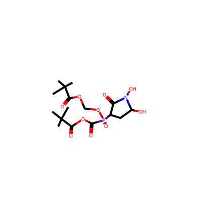 CC(C)(C)C(=O)OCOP(=O)(C(=O)OC(=O)C(C)(C)C)C1CC(O)N(O)C1=O